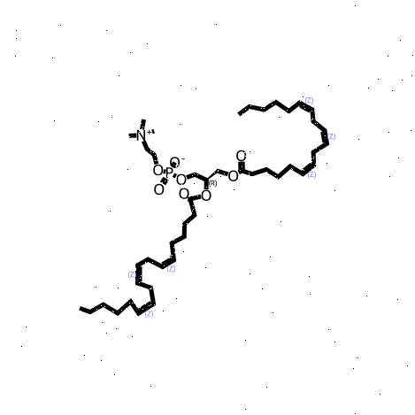 CCCCC/C=C\C/C=C\C/C=C\CCCCC(=O)OC[C@H](COP(=O)([O-])OCC[N+](C)(C)C)OC(=O)CCCC/C=C\C/C=C\C/C=C\CCCCC